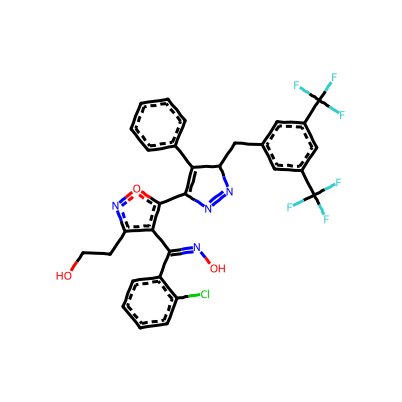 OCCc1noc(C2=C(c3ccccc3)C(Cc3cc(C(F)(F)F)cc(C(F)(F)F)c3)N=N2)c1C(=NO)c1ccccc1Cl